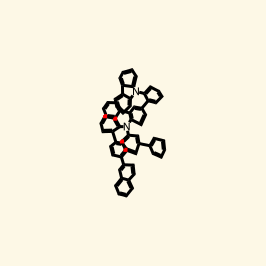 c1ccc(-c2cccc(N(c3ccccc3-c3ccc(-c4ccc5ccccc5c4)cc3)c3ccc(-c4ccccc4-n4c5ccccc5c5ccccc54)cc3-c3ccccc3)c2)cc1